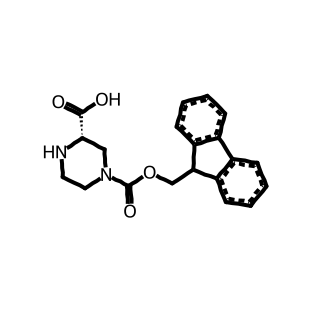 O=C(O)[C@@H]1CN(C(=O)OCC2c3ccccc3-c3ccccc32)CCN1